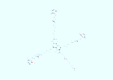 CC(=O)NCSCCNC(=O)CCC[C@@H]1CCC2C3C(C[C@H](OCCCSCCNC(=O)CCN4C(=O)C=CC4=O)[C@@]21C)[C@@]1(C)CC[C@@H](OCCCSCCNC(=O)CCCN2C(=O)C=CC2=O)CC1C[C@H]3OCCCSCCNC(=O)CCCN1C(=O)C=CC1=O